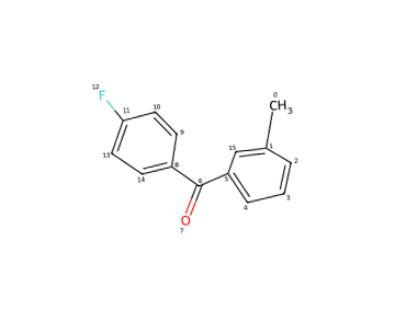 Cc1cccc(C(=O)c2ccc(F)cc2)c1